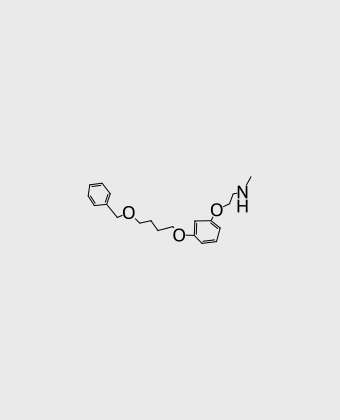 CNCCOc1cccc(OCCCCOCc2ccccc2)c1